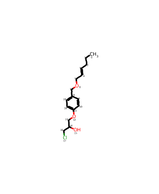 CCCC=CCOCc1ccc(OCC(O)CCl)cc1